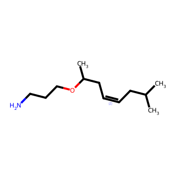 CC(C)C/C=C\CC(C)OCCCN